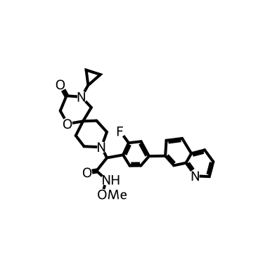 CONC(=O)C(c1ccc(-c2ccc3cccnc3c2)cc1F)N1CCC2(CC1)CN(C1CC1)C(=O)CO2